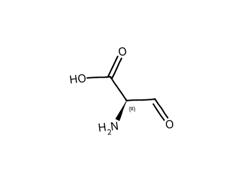 N[C@H](C=O)C(=O)O